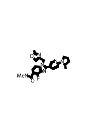 CNC(=O)c1ccc2c(nc(-c3ccc(N4CCCC4C)nc3)n2Cc2coc(C)n2)c1F